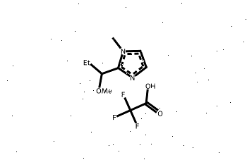 CCC(OC)c1nccn1C.O=C(O)C(F)(F)F